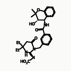 CCC1(CC)CC(=O)N(Cc2cccc(C(=O)N[C@@H]3c4ccccc4OC(C)(C)[C@H]3O)c2)C(=NC(=O)O)N1